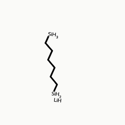 [LiH].[SiH3]CCCCCC[SiH3]